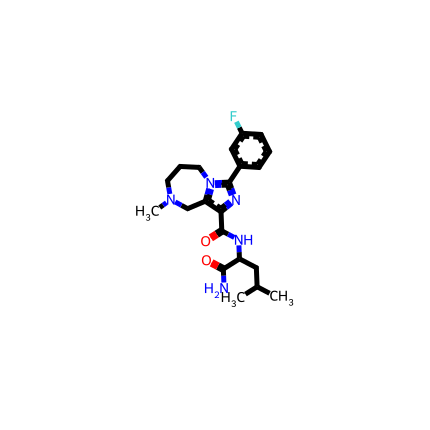 CC(C)CC(NC(=O)c1nc(-c2cccc(F)c2)n2c1CN(C)CCC2)C(N)=O